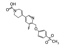 CS(=O)(=O)c1ccc(OCc2ncc(C3=CCN(C(=O)O)CC3)cc2F)cc1